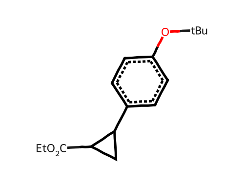 CCOC(=O)C1CC1c1ccc(OC(C)(C)C)cc1